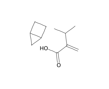 C1CC2CC12.C=C(C(=O)O)C(C)C